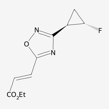 CCOC(=O)/C=C/c1nc([C@H]2C[C@@H]2F)no1